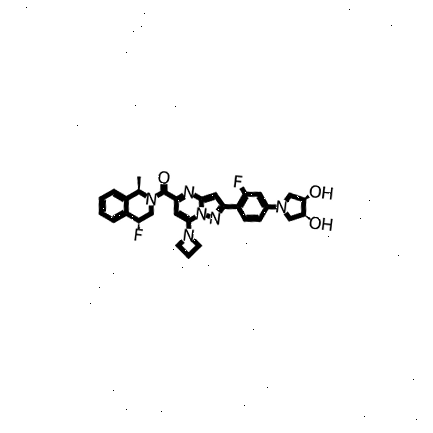 C[C@@H]1c2ccccc2[C@@H](F)CN1C(=O)c1cc(N2CCC2)n2nc(-c3ccc(N4C[C@@H](O)[C@H](O)C4)cc3F)cc2n1